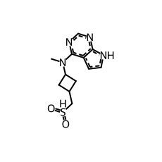 CN(c1ncnc2[nH]ccc12)C1CC(C[SH](=O)=O)C1